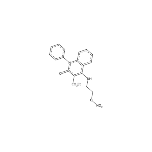 CCOC(=O)c1c(NCCO[N+](=O)[O-])c2ccccc2n(-c2ccccc2)c1=O